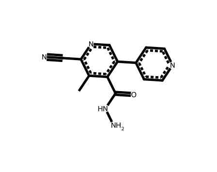 Cc1c(C#N)ncc(-c2ccncc2)c1C(=O)NN